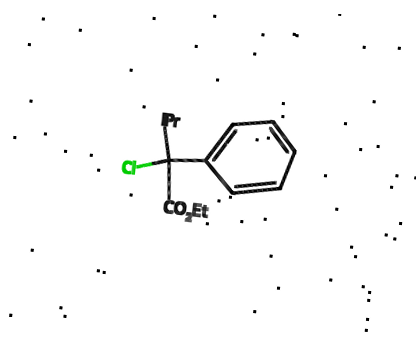 CCOC(=O)C(Cl)(c1ccccc1)C(C)C